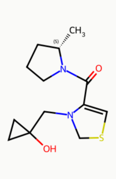 C[C@H]1CCCN1C(=O)C1=CSCN1CC1(O)CC1